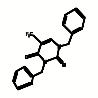 O=c1c(C(F)(F)F)cn(Cc2ccccc2)c(=O)n1Cc1ccccc1